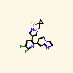 Fc1cc(-c2cnn(CC3(C(F)(F)F)CC3)c2)c(-c2ccn3ccnc3c2)nc1F